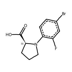 O=C(O)[C@@H]1CCCN1c1ccc(Br)cc1F